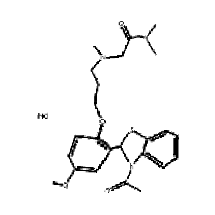 COc1ccc(OCCCN(C)CC(=O)N(C)C)c(C2Sc3ccccc3N2C(C)=O)c1.Cl